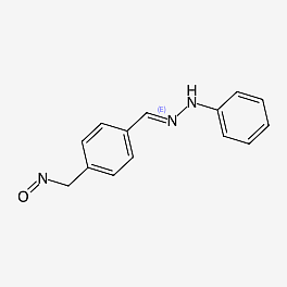 O=NCc1ccc(/C=N/Nc2ccccc2)cc1